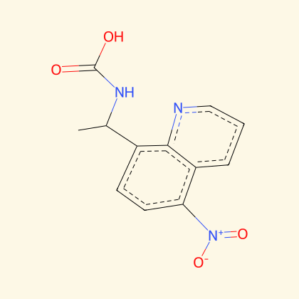 CC(NC(=O)O)c1ccc([N+](=O)[O-])c2cccnc12